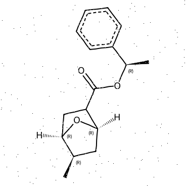 C[C@@H]1C[C@H]2O[C@@H]1CC2C(=O)O[C@H](C)c1ccccc1